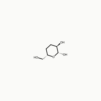 OC[C@@H]1CC[C@@H](O)[C@H](O)O1